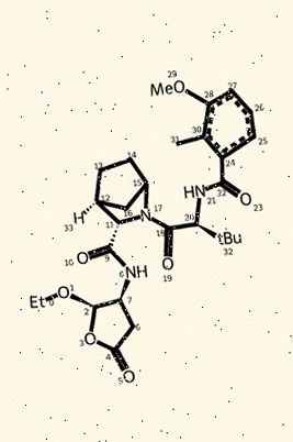 CCO[C@@H]1OC(=O)C[C@@H]1NC(=O)[C@@H]1[C@H]2CCC(C2)N1C(=O)[C@@H](NC(=O)c1cccc(OC)c1C)C(C)(C)C